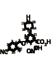 N#Cc1ccc(COc2cc(C(=O)O)cc(N3CCNCC3)n2)c(F)c1.O=NO